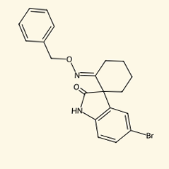 O=C1Nc2ccc(Br)cc2C12CCCCC2=NOCc1ccccc1